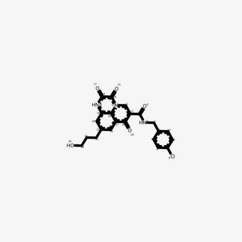 O=C(NCc1ccc(Cl)cc1)c1cn2c(=O)c(=O)[nH]c3cc(CCCO)cc(c1=O)c32